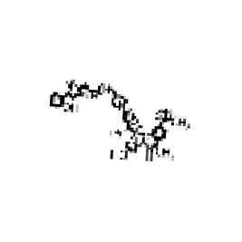 Cc1ncsc1-c1ccc([C@H](C)NC(=O)[C@@H]2C[C@@H](O)CN2C(=O)[C@@H](c2cc(N3CCC(CN4CC(c5cc6nnc(-c7ccccc7O)cc6[nH]5)C4)CC3)no2)C(C)C)cc1